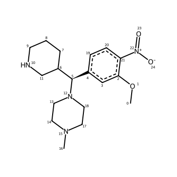 COc1cc([C@H](C2CCCNC2)N2CCN(C)CC2)ccc1[N+](=O)[O-]